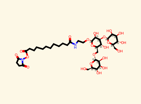 O=C(CCCCCCCCCCC(=O)ON1C(=O)CCC1=O)NCCO[C@H]1O[C@H](CO[C@H]2O[C@H](CO)[C@@H](O)[C@H](O)[C@@H]2O)[C@@H](O)[C@H](O[C@H]2O[C@H](CO)[C@@H](O)[C@H](O)[C@@H]2O)[C@@H]1O